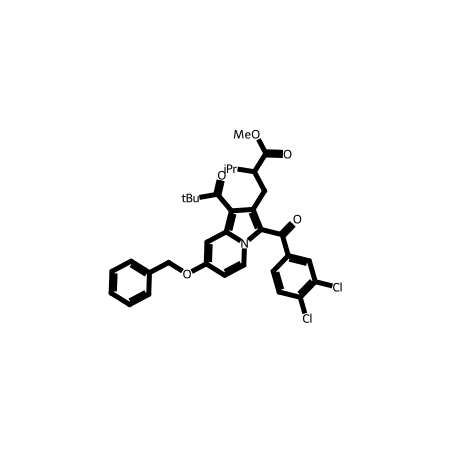 COC(=O)C(Cc1c(C(=O)C(C)(C)C)c2cc(OCc3ccccc3)ccn2c1C(=O)c1ccc(Cl)c(Cl)c1)C(C)C